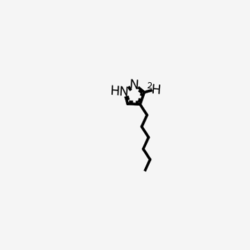 [2H]c1n[nH]cc1CCCCCC